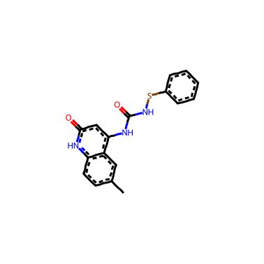 Cc1ccc2[nH]c(=O)cc(NC(=O)NSc3ccccc3)c2c1